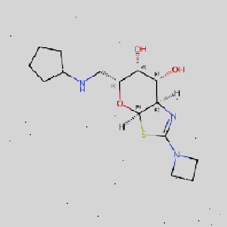 O[C@@H]1[C@H](O)[C@H]2N=C(N3CCC3)S[C@H]2O[C@@H]1CNC1CCCC1